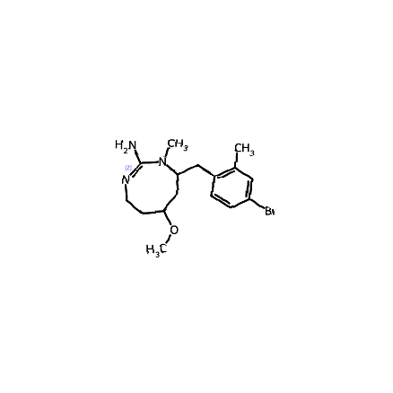 COC1CC/N=C(/N)N(C)C(Cc2ccc(Br)cc2C)C1